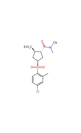 CCOC(=O)[C@@H]1C[C@H](S(=O)(=O)c2ccc(Cl)cc2C)C[C@H]1C(=O)N(C)C#N